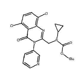 CC(C)(C)OC(=O)N(Cc1nc2c(Cl)ccc(Cl)c2c(=O)n1-c1cccnc1)C1CC1